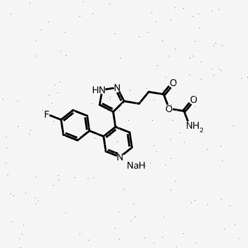 NC(=O)OC(=O)CCc1n[nH]cc1-c1ccncc1-c1ccc(F)cc1.[NaH]